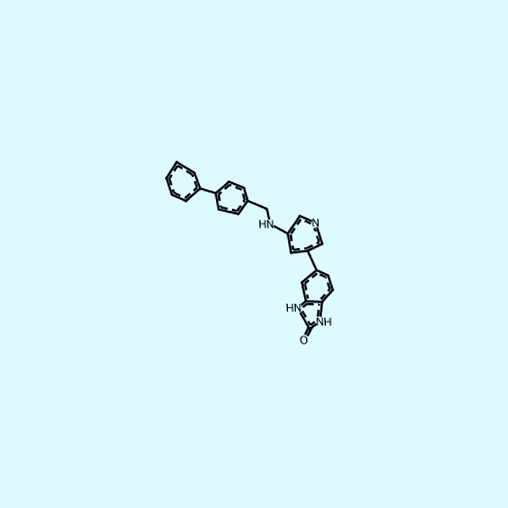 O=c1[nH]c2ccc(-c3cncc(NCc4ccc(-c5ccccc5)cc4)c3)cc2[nH]1